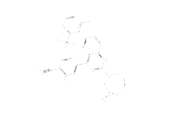 N#Cc1ccc(-c2nc(N3CCCC[C@@H](N)C3)nc3ccc(-c4c(F)cccc4C(F)(F)F)cc23)cc1F